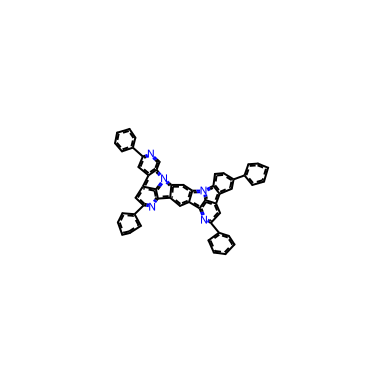 c1ccc(-c2ccc3c(c2)c2cc(-c4ccccc4)nc4c5cc6c7nc(-c8ccccc8)cc8c9cc(-c%10ccccc%10)ncc9n(c6cc5n3c24)c87)cc1